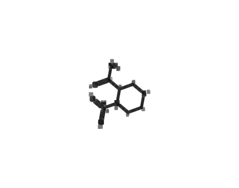 NC(=O)C1CSCCN1[SH](=O)=O